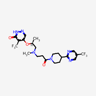 C[C@@H](CN(C)CCC(=O)N1CCC(c2ncc(C(F)(F)F)cn2)CC1)Oc1cn[nH]c(=O)c1C(F)(F)F